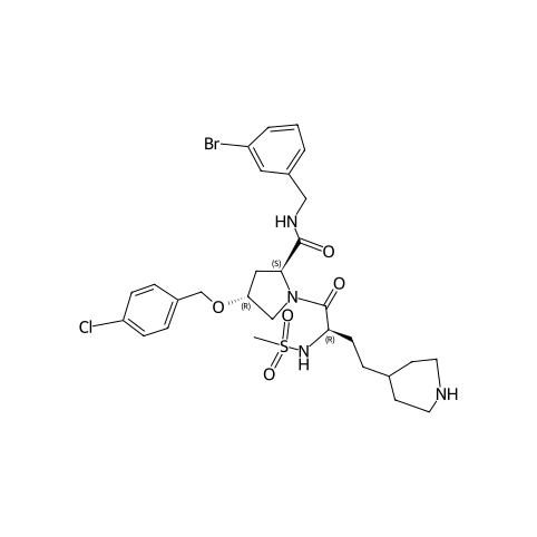 CS(=O)(=O)N[C@H](CCC1CCNCC1)C(=O)N1C[C@H](OCc2ccc(Cl)cc2)C[C@H]1C(=O)NCc1cccc(Br)c1